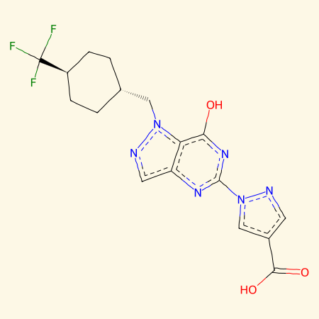 O=C(O)c1cnn(-c2nc(O)c3c(cnn3C[C@H]3CC[C@H](C(F)(F)F)CC3)n2)c1